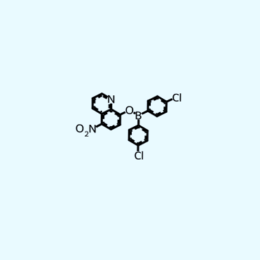 O=[N+]([O-])c1ccc(OB(c2ccc(Cl)cc2)c2ccc(Cl)cc2)c2ncccc12